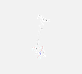 CC(=O)C(CCCCCCCCCCCOC(=O)CN1C(=O)C=CC1=O)C(C)=O